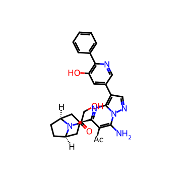 CC(=O)c1c([C@H]2C[C@H]3CC[C@@H](C2)N3C(=O)CO)nc2c(-c3cnc(-c4ccccc4)c(O)c3)cnn2c1N